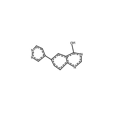 Oc1ncnc2ccc(-c3ccnnc3)cc12